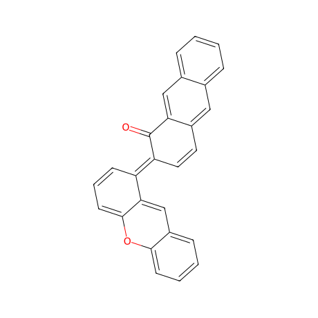 O=C1C(=c2cccc3c2=Cc2ccccc2O3)C=Cc2cc3ccccc3cc21